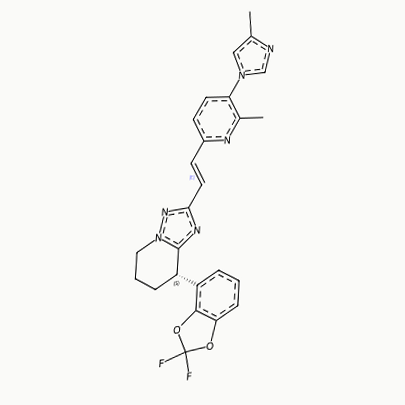 Cc1cn(-c2ccc(/C=C/c3nc4n(n3)CCC[C@H]4c3cccc4c3OC(F)(F)O4)nc2C)cn1